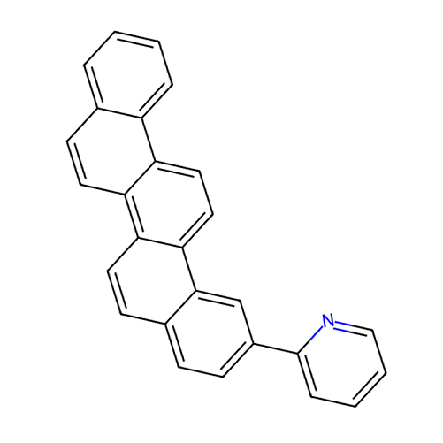 c1ccc(-c2ccc3ccc4c(ccc5c6ccccc6ccc54)c3c2)nc1